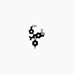 CC(C)c1c([C@@H]2CCC(CO)C2)c2cc3[nH]ncc3cc2n1-c1ccc(F)cc1